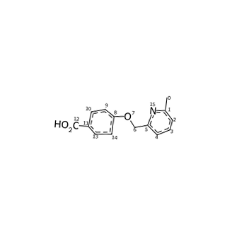 Cc1cccc(COc2ccc(C(=O)O)cc2)n1